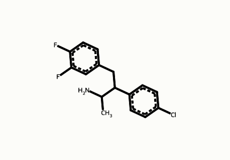 CC(N)C(Cc1ccc(F)c(F)c1)c1ccc(Cl)cc1